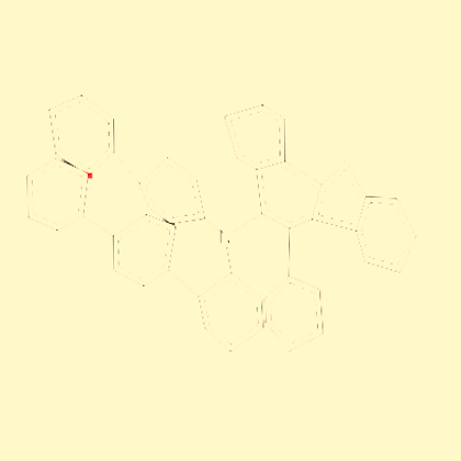 c1ccc(-c2ccc(-c3ccccc3N(c3ccc(-c4ccccc4)cc3)c3c(-c4ccccc4)c4c5ccccc5sc4c4ccccc34)cc2)cc1